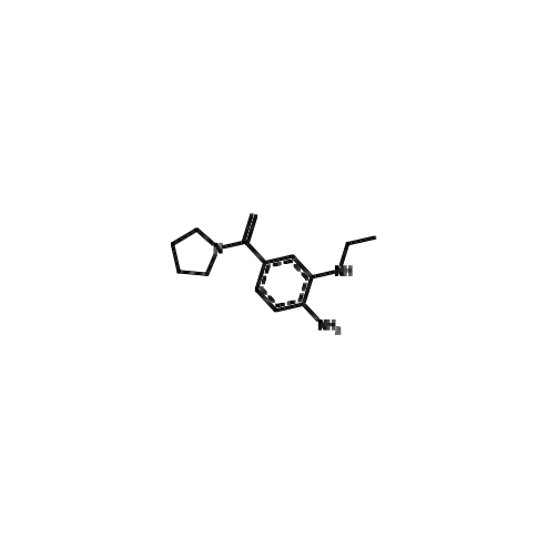 C=C(c1ccc(N)c(NCC)c1)N1CCCC1